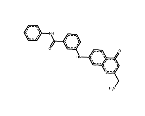 NCc1cc(=O)c2ccc(Nc3cccc(C(=O)Nc4ccccc4)c3)cc2o1